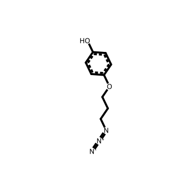 [N-]=[N+]=NCCCOc1ccc(O)cc1